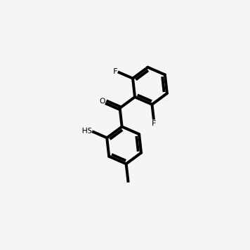 Cc1ccc(C(=O)c2c(F)cccc2F)c(S)c1